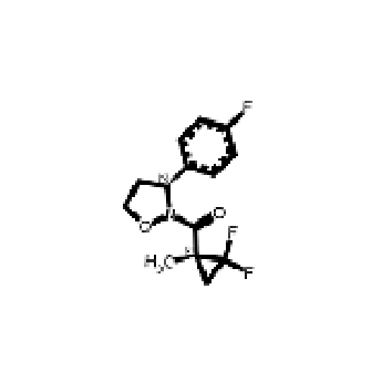 C[C@]1(C(=O)N2OCC[C@H]2c2ccc(F)cc2)CC1(F)F